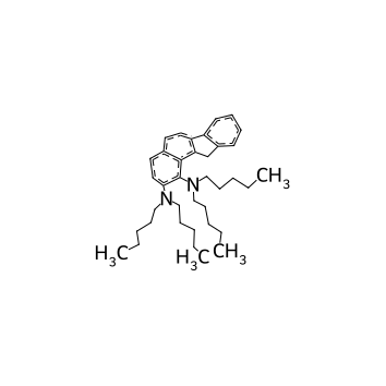 CCCCCN(CCCCC)c1ccc2ccc3c(c2c1N(CCCCC)CCCCC)Cc1ccccc1-3